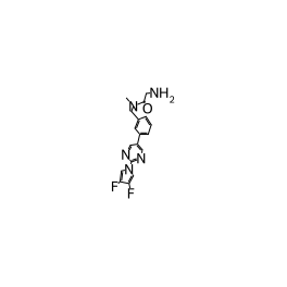 CN(Cc1cccc(-c2cnc(-n3cc(F)c(F)c3)nc2)c1)C(=O)CN